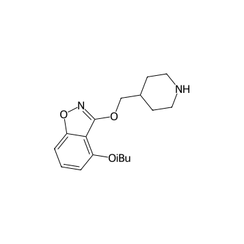 CC(C)COc1cccc2onc(OCC3CCNCC3)c12